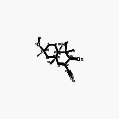 CO[C@@]1(C)CC[C@H]2C(C)(C)C(=O)C(C#N)=C[C@]2(C)C1